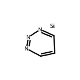 [Si].c1cnnnc1